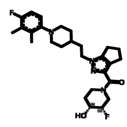 Cc1c(F)ccc(N2CCC(CCn3nc(C(=O)N4CC[C@@H](O)[C@@H](F)C4)c4c3CCC4)CC2)c1C